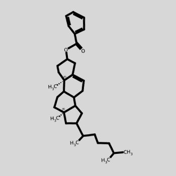 CC(C)CCCC(C)C1CC2C3CC=C4CC(OC(=O)c5ccccc5)CC[C@]4(C)C3CC[C@]2(C)C1